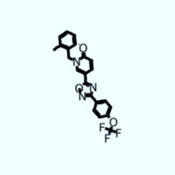 Cc1ccc[c]c1Cn1cc(-c2nc(-c3ccc(OC(F)(F)F)cc3)no2)ccc1=O